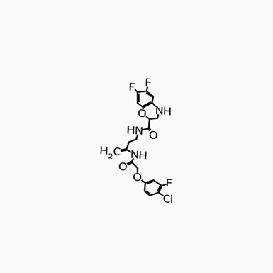 C=C(CCNC(=O)C1CNc2cc(F)c(F)cc2O1)NC(=O)COc1ccc(Cl)c(F)c1